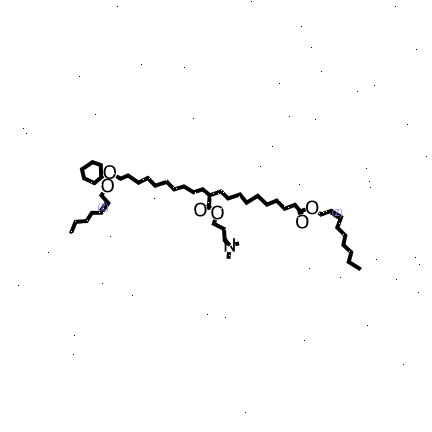 CCCC/C=C\COC1(OCCCCCCCCCCC(CCCCCCCCCC(=O)OC/C=C\CCCCCC)C(=O)OCCCN(C)C)CCCCC1